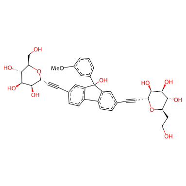 COc1cccc(C2(O)c3cc(C#C[C@H]4O[C@H](CO)[C@@H](O)[C@H](O)[C@@H]4O)ccc3-c3ccc(C#C[C@H]4O[C@H](CCO)[C@@H](O)[C@H](O)[C@@H]4O)cc32)c1